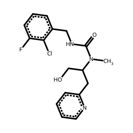 CN(C(=O)NCc1cccc(F)c1Cl)C(CO)Cc1ccccn1